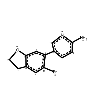 Nc1ccc(-c2cc3c(cc2Br)CCO3)cn1